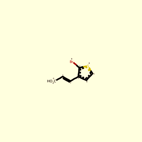 O=C(O)/C=C/c1ccsc1Br